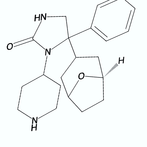 O=C1NCC(c2ccccc2)(C2CC3CC[C@H](C2)O3)N1C1CCNCC1